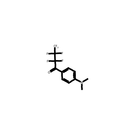 CN(C)c1ccc(C(=O)C(F)(F)C(F)(F)C(F)(F)F)cc1